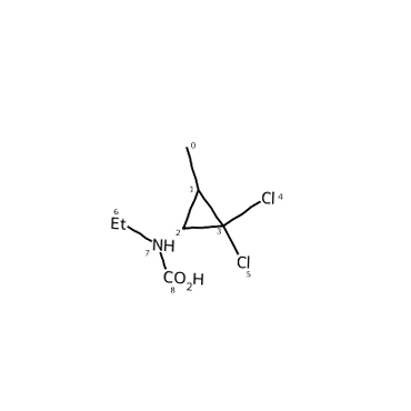 CC1CC1(Cl)Cl.CCNC(=O)O